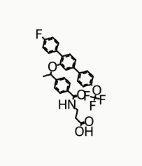 CC(Oc1cc(-c2ccc(OC(F)(F)F)cc2)ccc1-c1ccc(F)cc1)c1ccc(C(=O)NCCC(=O)O)cc1